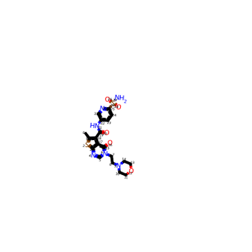 Cc1sc2ncn(CCN3CCOCC3)c(=O)c2c1C(=O)Nc1ccc(S(N)(=O)=O)nc1